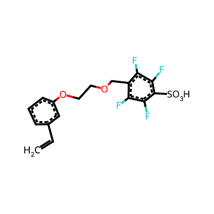 C=Cc1cccc(OCCOCc2c(F)c(F)c(S(=O)(=O)O)c(F)c2F)c1